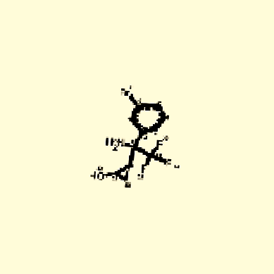 N[C@](c1cccc(Br)c1)([C@H]1C[C@H]1O)C(F)(F)F